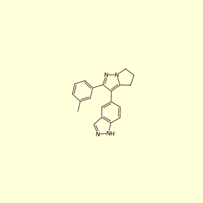 Cc1cccc(-c2nn3c(c2-c2ccc4[nH]ncc4c2)CCC3)c1